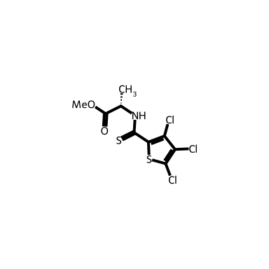 COC(=O)[C@H](C)NC(=S)c1sc(Cl)c(Cl)c1Cl